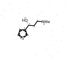 CNCC[C@@H](O)c1ccsc1